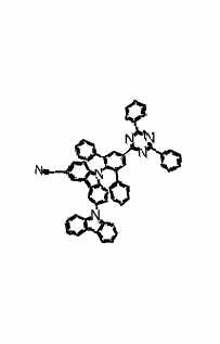 N#Cc1ccc2c(c1)c1cc(-n3c4ccccc4c4ccccc43)ccc1n2-c1c(-c2ccccc2)cc(-c2nc(-c3ccccc3)nc(-c3ccccc3)n2)cc1-c1ccccc1